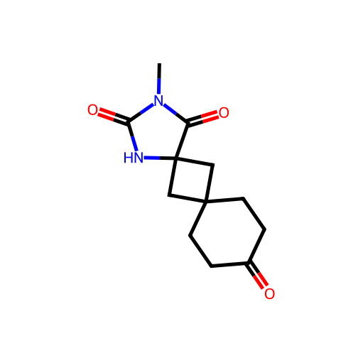 CN1C(=O)NC2(CC3(CCC(=O)CC3)C2)C1=O